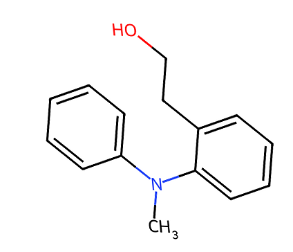 CN(c1ccccc1)c1ccccc1CCO